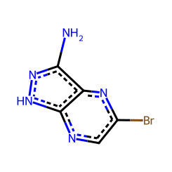 Nc1n[nH]c2ncc(Br)nc12